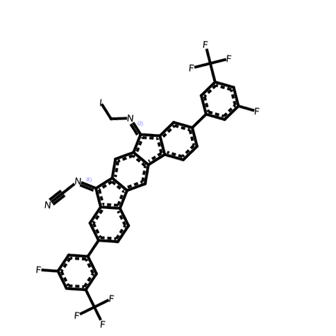 N#C/N=c1\c2cc(-c3cc(F)cc(C(F)(F)F)c3)ccc2c2cc3c(cc12)/c(=N\CI)c1cc(-c2cc(F)cc(C(F)(F)F)c2)ccc13